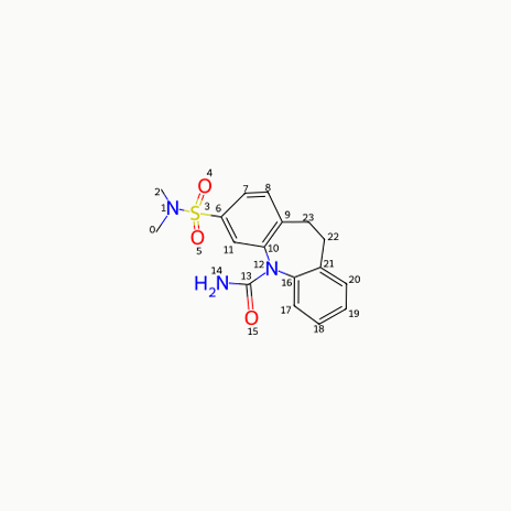 CN(C)S(=O)(=O)c1ccc2c(c1)N(C(N)=O)c1ccccc1CC2